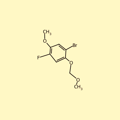 COCOc1cc(F)c(OC)cc1Br